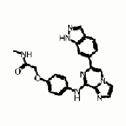 CNC(=O)COc1ccc(Nc2nc(-c3ccc4cn[nH]c4c3)cn3ccnc23)cc1